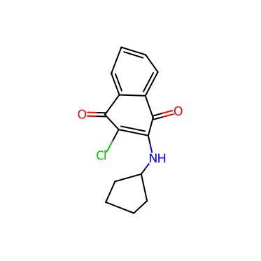 O=C1C(Cl)=C(NC2CCCC2)C(=O)c2ccccc21